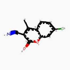 Cc1c(C#N)c(=O)oc2cc(Cl)ccc12